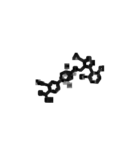 N#Cc1cc(N2C[C@@H]3C[C@H]2C[C@@H]3OCc2c(-c3c(Cl)cccc3Cl)noc2C2CC2)ccc1C(=O)O